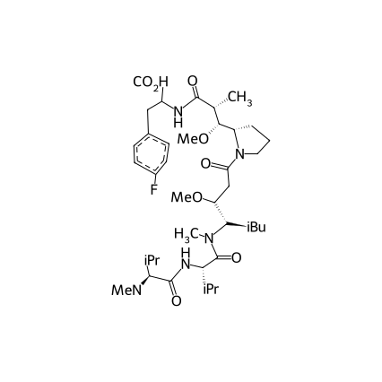 CC[C@H](C)[C@@H](C(CC(=O)N1CCC[C@H]1[C@H](OC)[C@@H](C)C(=O)NC(Cc1ccc(F)cc1)C(=O)O)OC)N(C)C(=O)[C@@H](NC(=O)[C@@H](NC)C(C)C)C(C)C